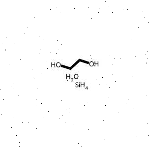 O.OCCO.[SiH4]